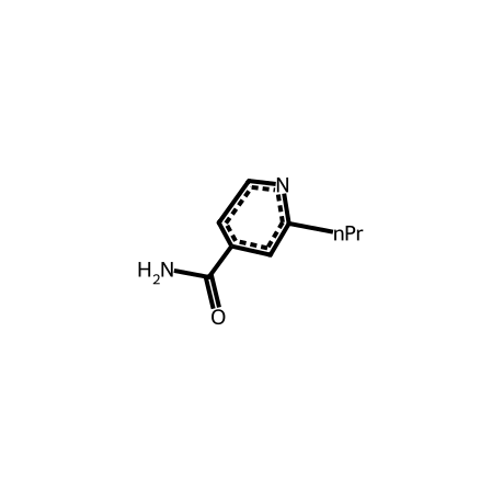 CCCc1cc(C(N)=O)ccn1